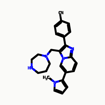 Cn1cccc1-c1ccc2nc(-c3ccc(C#N)cc3)c(CN3CCCNCC3)n2c1